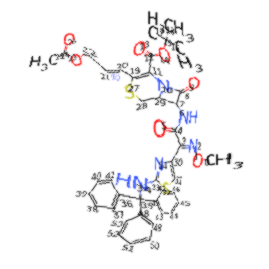 CON=C(C(=O)NC1C(=O)N2C(C(=O)OC(C)(C)C)=C(/C=C/COC(C)=O)SCC12)c1csc(NC(c2ccccc2)(c2ccccc2)c2ccccc2)n1